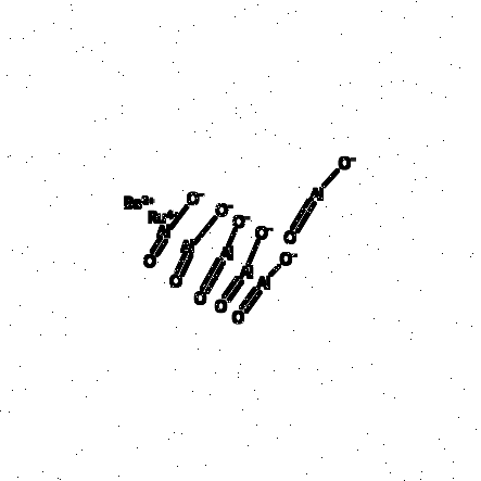 [Ba+2].[O]=[Al][O-].[O]=[Al][O-].[O]=[Al][O-].[O]=[Al][O-].[O]=[Al][O-].[O]=[Al][O-].[Ru+4]